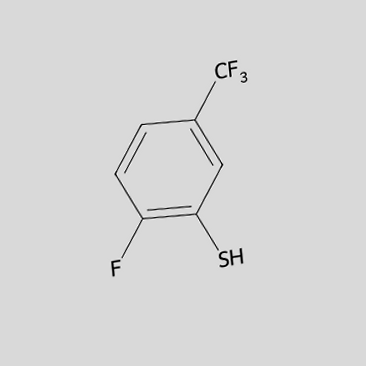 Fc1ccc(C(F)(F)F)cc1S